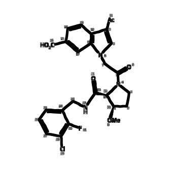 CO[C@@H]1CCN(C(=O)Cn2cc(C(C)=O)c3ccc(C(=O)O)cc32)[C@@H]1C(=O)NCc1cccc(Cl)c1F